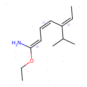 C\C=C(/C=C\C=C(/N)OCC)C(C)C